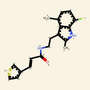 Cc1[nH]c2c(F)ccc(C)c2c1CCNC(=O)/C=C/c1ccsc1